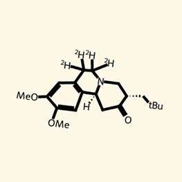 [2H]C1([2H])c2cc(OC)c(OC)cc2[C@@H]2CC(=O)[C@@H](CC(C)(C)C)CN2C1([2H])[2H]